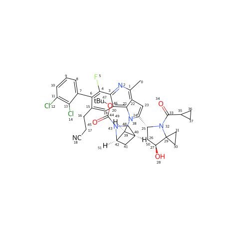 Cc1nc2c(F)c(-c3cccc(Cl)c3Cl)c(CCC#N)cc2c2c1cc([C@H]1C[C@H](O)C3(CC3)N1C(=O)C1CC1)n2[C@H]1[C@@H]2C[C@H]1N(C(=O)OC(C)(C)C)C2